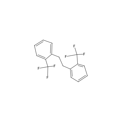 FC(F)(F)c1ccccc1CCc1ccccc1C(F)(F)F